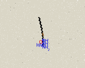 CCCCCCCCCCCSCCCNC(=O)NC(=N)N